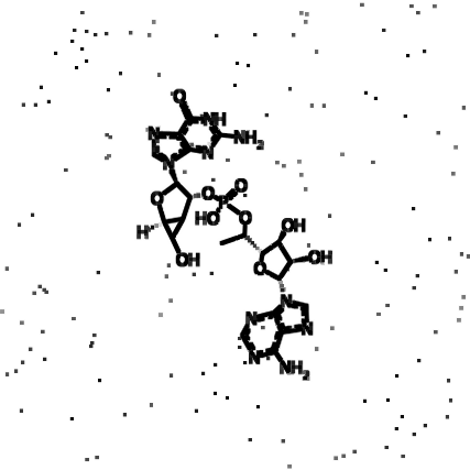 CC(OP(=O)(O)O[C@@H]1C2C(O)[C@H]2O[C@H]1n1cnc2c(=O)[nH]c(N)nc21)[C@H]1O[C@@H](n2cnc3c(N)ncnc32)[C@H](O)[C@@H]1O